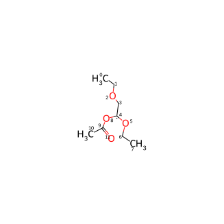 CCOC[C](OCC)OC(C)=O